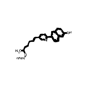 CCCCCOC(C)CCC/C=C/c1ccc(-c2ccc3cc(O)ccc3c2)nc1